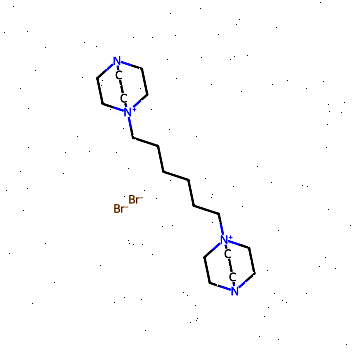 C(CCC[N+]12CCN(CC1)CC2)CC[N+]12CCN(CC1)CC2.[Br-].[Br-]